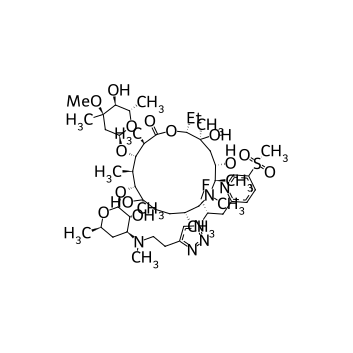 CC[C@H]1OC(=O)[C@H](C)[C@@H](O[C@H]2C[C@@](C)(OC)[C@@H](O)[C@H](C)O2)[C@H](C)[C@@H](O[C@@H]2O[C@H](C)C[C@H](N(C)CCc3cn([C@H](CF)Cc4ccc(S(C)(=O)=O)cn4)nn3)[C@H]2O)[C@](C)(O)CC[C@@H](C)CN(C)[C@H](C)[C@@H](O)C[C@]1(C)O